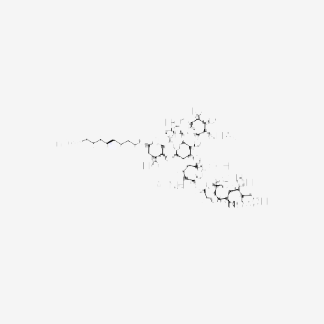 CCCCCCCCCCCCC/C=C/CCCO[C@H]1C[C@@H](O)[C@H](O[C@H]2C[C@@H](O[C@]3(C(=O)O)CC[C@@H](NC(C)=O)[C@H](C[C@@H](CO)O[C@]4(C(=O)O)CC[C@@H](NC(C)=O)[C@H]([C@H](O)C(O)CO)O4)O3)[C@@H](O[C@@H]3O[C@H](CO)[C@H](O)[C@H](O)[C@H]3NC(C)=O)[C@@H](CO)O2)[C@@H](CO)O1